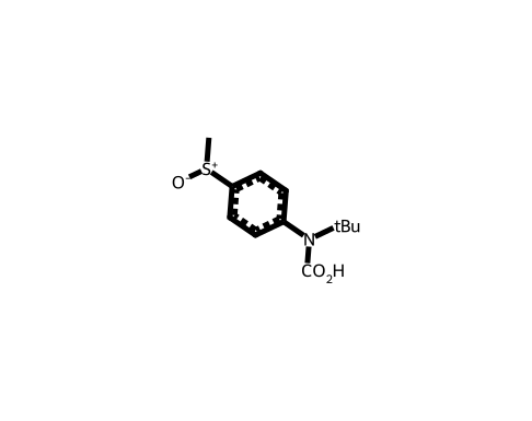 C[S+]([O-])c1ccc(N(C(=O)O)C(C)(C)C)cc1